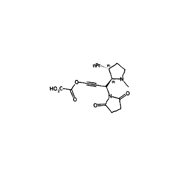 CCC[C@@H]1CCN(C)[C@H]1C(C#COC(=O)C(=O)O)N1C(=O)CCC1=O